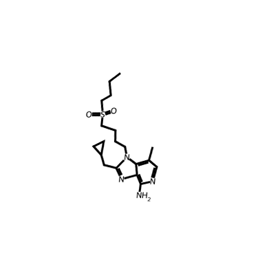 CCCCS(=O)(=O)CCCCn1c(CC2CC2)nc2c(N)ncc(C)c21